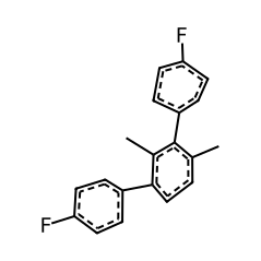 Cc1ccc(-c2ccc(F)cc2)c(C)c1-c1ccc(F)cc1